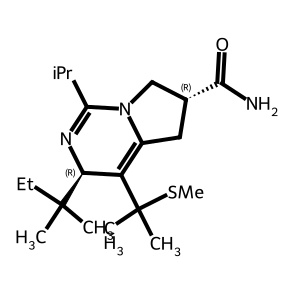 CCC(C)(C)[C@H]1N=C(C(C)C)N2C[C@H](C(N)=O)CC2=C1C(C)(C)SC